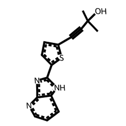 CC(C)(O)C#Cc1ccc(-c2nc3ncccc3[nH]2)s1